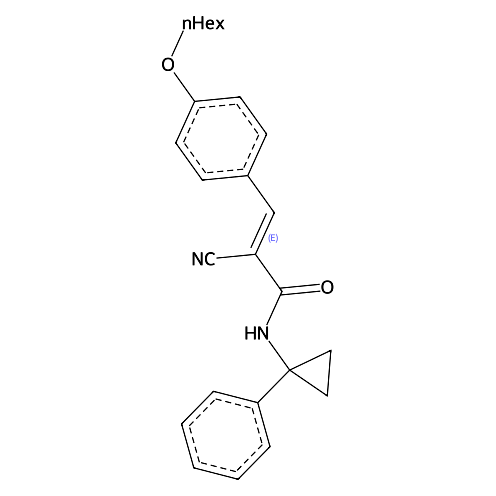 CCCCCCOc1ccc(/C=C(\C#N)C(=O)NC2(c3ccccc3)CC2)cc1